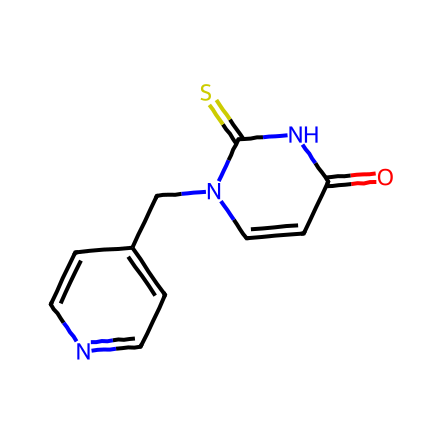 O=c1ccn(Cc2ccncc2)c(=S)[nH]1